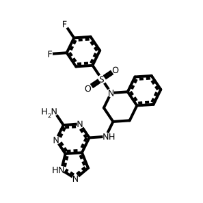 Nc1nc(NC2Cc3ccccc3N(S(=O)(=O)c3ccc(F)c(F)c3)C2)c2cn[nH]c2n1